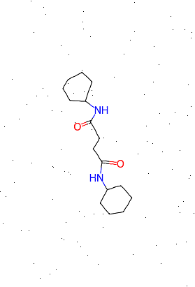 O=C(CCC(=O)NC1CCCCC1)NC1CCCCC1